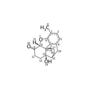 Cc1ccc2c3c1O[C@H]1C(=O)CC[C@@]4(O)C(CCC[C@]314)C2